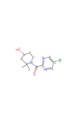 CC1(C)CC(O)CCN1C(=O)c1ncc(Br)cn1